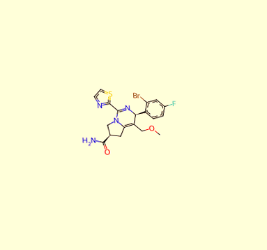 COCC1=C2C[C@@H](C(N)=O)CN2C(c2nccs2)=N[C@H]1c1ccc(F)cc1Br